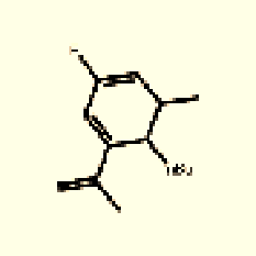 C=C(C)C1=CC(F)=CC(C)C1CCCC